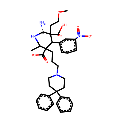 COCCC1(C(=O)O)C(c2cccc([N+](=O)[O-])c2)C(CCCN2CCC(c3ccccc3)(c3ccccc3)CC2)(C(=O)O)C(C)N[C@@H]1N